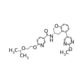 COc1ncc(-c2cccc3c2C[C@H](NC(=O)c2ccc(OCCOC(C)C)nc2)CO3)cn1